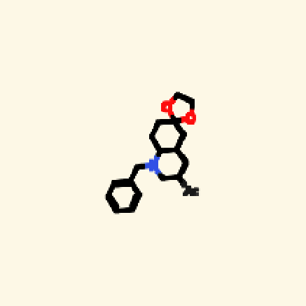 CC(=O)C1CC2CC3(CCC2N(Cc2ccccc2)C1)OCCO3